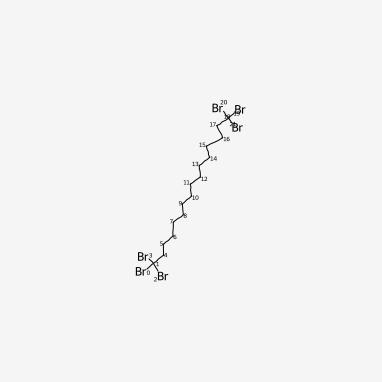 BrC(Br)(Br)CCCCCCCCCCCCCCC(Br)(Br)Br